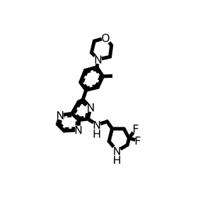 Cc1cc(-c2cc3nccnc3c(NCC3CNCC(F)(F)C3)n2)ccc1N1CCOCC1